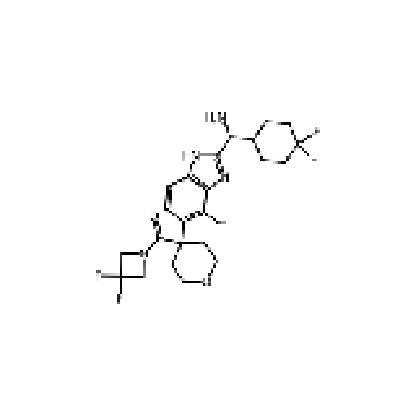 N[C@H](c1nc2c(F)c(C3(C(=O)N4CC(F)(F)C4)CCOCC3)ccc2[nH]1)C1CCC(F)(F)CC1